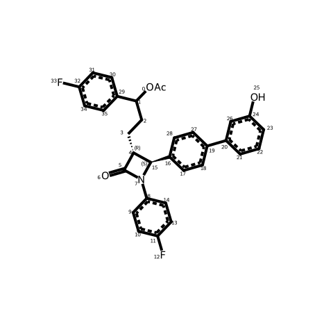 CC(=O)OC(CC[C@H]1C(=O)N(c2ccc(F)cc2)[C@@H]1c1ccc(-c2cccc(O)c2)cc1)c1ccc(F)cc1